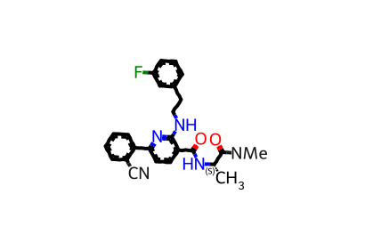 CNC(=O)[C@H](C)NC(=O)c1ccc(-c2ccccc2C#N)nc1NCCc1cccc(F)c1